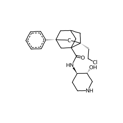 O=C(N[C@@H]1CCNC[C@H]1O)C12CC3C[C@](c4ccccc4)(C1)C[C@@]2(CCCl)C3